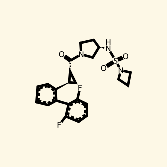 O=C([C@@H]1C[C@H]1c1ccccc1-c1c(F)cccc1F)N1CC[C@H](NS(=O)(=O)N2CCC2)C1